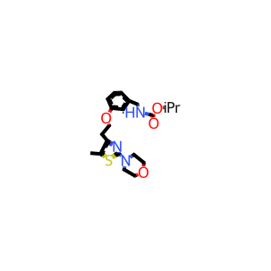 Cc1sc(N2CCOCC2)nc1CCOc1[c]c(CNC(=O)OC(C)C)ccc1